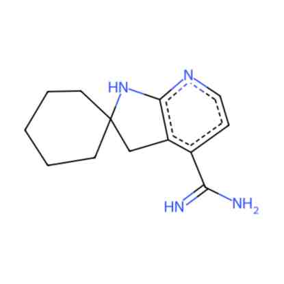 N=C(N)c1ccnc2c1CC1(CCCCC1)N2